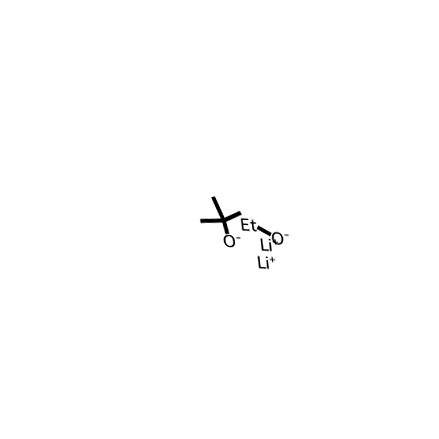 CC(C)(C)[O-].CC[O-].[Li+].[Li+]